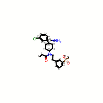 CCC(=O)N(CCc1cccc(S(C)(=O)=O)c1)[C@H]1CC[C@](CN)(c2cccc(Cl)c2)CC1